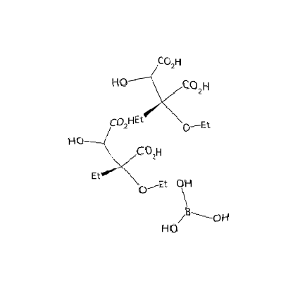 CCO[C@@](CC)(C(=O)O)C(O)C(=O)O.CCO[C@@](CC)(C(=O)O)C(O)C(=O)O.OB(O)O